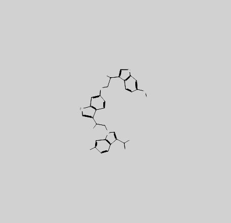 COc1ccc2c(C(C)COc3ccc4c(C(C)Cn5cc(C(C)C)c6ccc(C)cc65)c[nH]c4c3)c[nH]c2c1